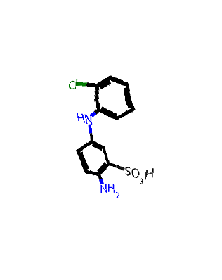 Nc1ccc(Nc2ccccc2Cl)cc1S(=O)(=O)O